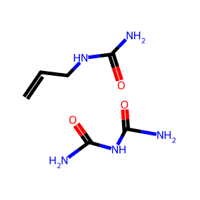 C=CCNC(N)=O.NC(=O)NC(N)=O